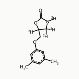 [2H]N1C(=O)OC([2H])(COc2cc(C)cc(C)c2)C1([2H])[2H]